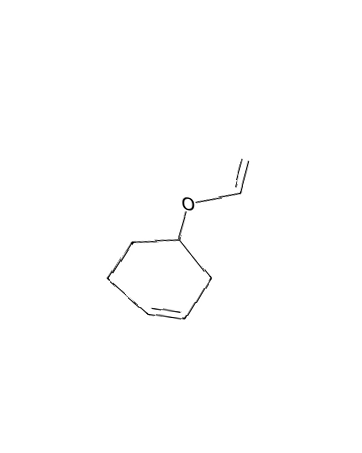 C=COC1CC=CCC1